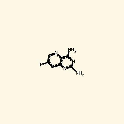 Nc1nc(N)c2ncc(F)cc2n1